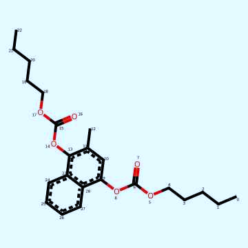 CCCCCOC(=O)Oc1cc(C)c(OC(=O)OCCCCC)c2ccccc12